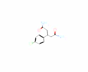 NC(=O)CC(CC(N)=O)c1ccc(Cl)cc1